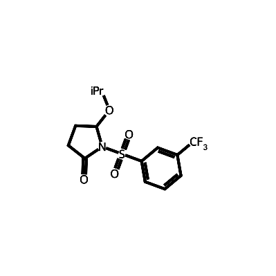 CC(C)OC1CCC(=O)N1S(=O)(=O)c1cccc(C(F)(F)F)c1